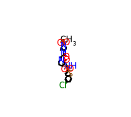 CS(=O)(=O)N1CC2CC1CN2C(=O)CN1CCC[C@H](NS(=O)(=O)c2cc3cc(Cl)ccc3s2)C1=O